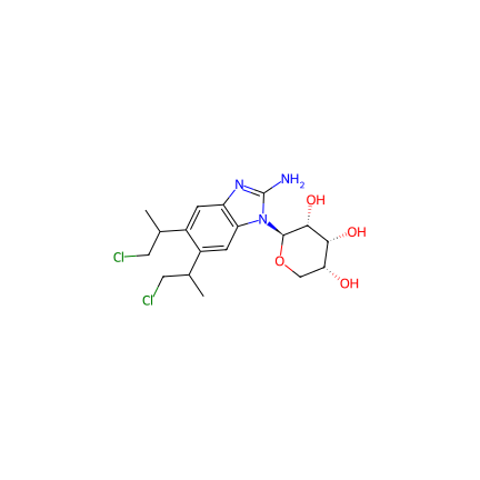 CC(CCl)c1cc2nc(N)n([C@@H]3OC[C@@H](O)[C@@H](O)[C@H]3O)c2cc1C(C)CCl